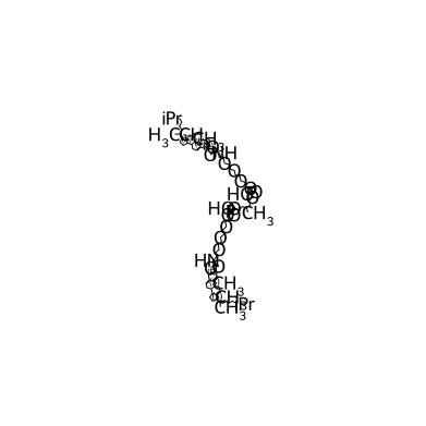 CC(C)CCCC(C)C1CCC2C3CC=C4C[C@H](OC(=O)NCCOCCOCCOCCOP(=O)(O)OCCC(C)CCOP(=O)(O)OCCOCCOCCOCCNC(=O)O[C@@H]5CC[C@]6(C)C(=CCC7C8CCC(C(C)CCCC(C)C)[C@]8(C)CCC76)C5)CC[C@@]4(C)C3CC[C@@]12C